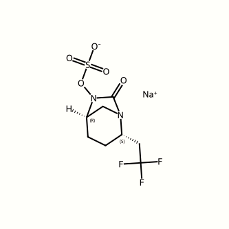 O=C1N2C[C@@H](CC[C@H]2CC(F)(F)F)N1OS(=O)(=O)[O-].[Na+]